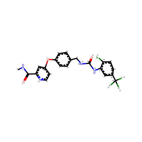 CNC(=O)c1cc(Oc2ccc(CNC(=O)Nc3cc(C(F)(F)F)ccc3Br)cc2)ccn1